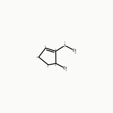 CCSC1=CCCC1CC